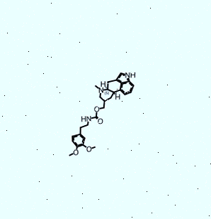 COc1ccc(CCNC(=O)OCC2C[C@H]3c4cccc5[nH]cc(c45)C[C@@H]3N(C)C2)cc1OC